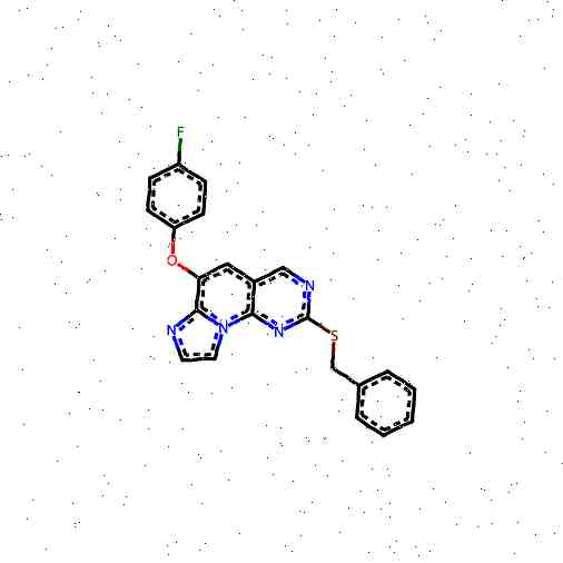 Fc1ccc(Oc2cc3cnc(SCc4ccccc4)nc3n3ccnc23)cc1